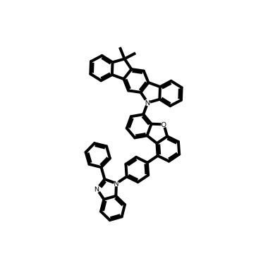 CC1(C)c2ccccc2-c2cc3c(cc21)c1ccccc1n3-c1cccc2c1oc1cccc(-c3ccc(-n4c(-c5ccccc5)nc5ccccc54)cc3)c12